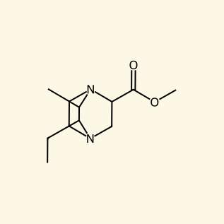 CCC1C(C)N2CCN1CC2C(=O)OC